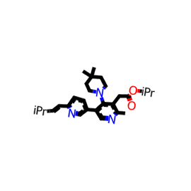 Cc1ncc(-c2ccc(/C=C/C(C)C)nc2)c(N2CCC(C)(C)CC2)c1CC(=O)OC(C)C